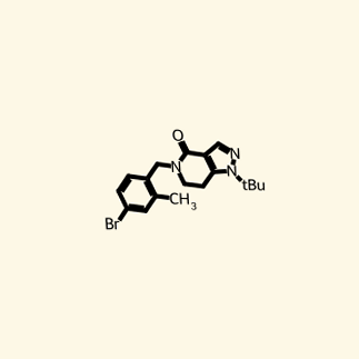 Cc1cc(Br)ccc1CN1CCc2c(cnn2C(C)(C)C)C1=O